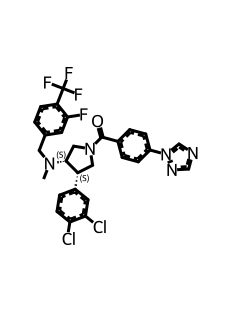 CN(Cc1ccc(C(F)(F)F)c(F)c1)[C@@H]1CN(C(=O)c2ccc(-n3cncn3)cc2)C[C@@H]1c1ccc(Cl)c(Cl)c1